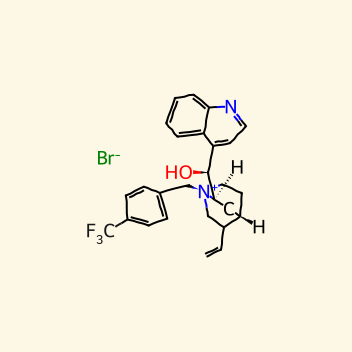 C=CC1C[N@+]2(Cc3ccc(C(F)(F)F)cc3)CC[C@H]1C[C@@H]2[C@@H](O)c1ccnc2ccccc12.[Br-]